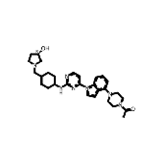 CC(=O)N1CCN(c2cccc3c2ccn3-c2ccnc(NC3CCC(CN4CC[C@@H](O)C4)CC3)n2)CC1